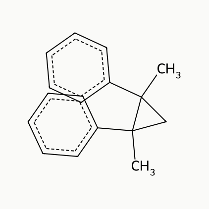 CC1(c2ccccc2)CC1(C)c1ccccc1